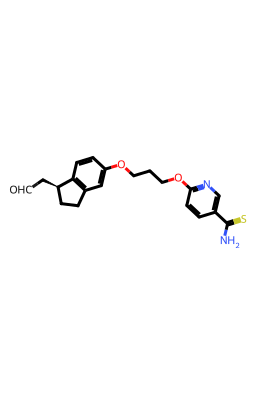 NC(=S)c1ccc(OCCCOc2ccc3c(c2)CC[C@H]3CC=O)nc1